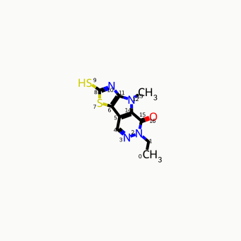 CCn1ncc2c3sc(S)nc3n(C)c2c1=O